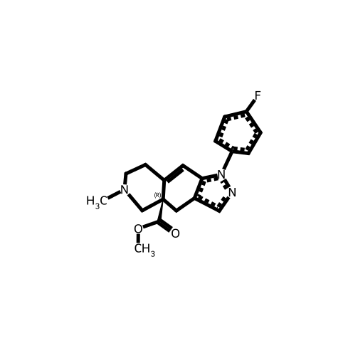 COC(=O)[C@]12Cc3cnn(-c4ccc(F)cc4)c3C=C1CCN(C)C2